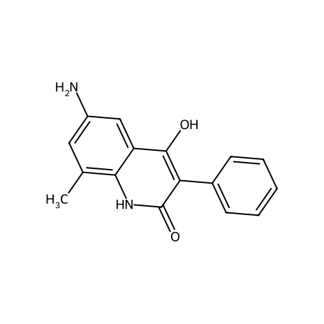 Cc1cc(N)cc2c(O)c(-c3ccccc3)c(=O)[nH]c12